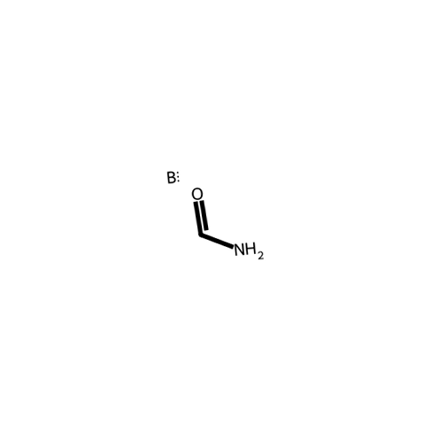 NC=O.[B]